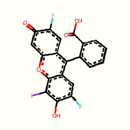 O=C(O)c1ccccc1-c1c2cc(F)c(=O)cc-2oc2c(I)c(O)c(F)cc12